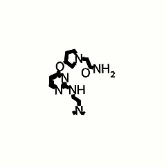 CN(C)CCNc1nccc(OC2CCN(CC(N)=O)C2)n1